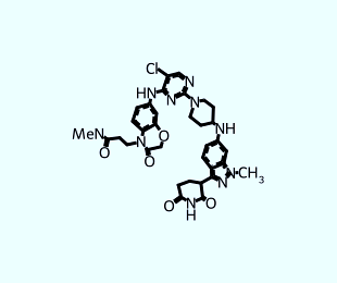 CNC(=O)CCN1C(=O)COc2cc(Nc3nc(N4CCC(Nc5ccc6c(C7CCC(=O)NC7=O)nn(C)c6c5)CC4)ncc3Cl)ccc21